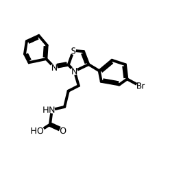 O=C(O)NCCCn1c(-c2ccc(Br)cc2)csc1=Nc1ccccc1